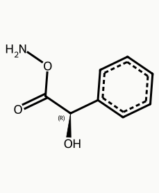 NOC(=O)[C@H](O)c1ccccc1